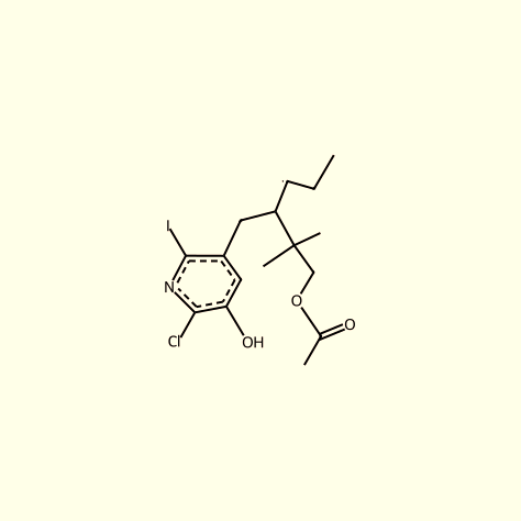 CC[CH]C(Cc1cc(O)c(Cl)nc1I)C(C)(C)COC(C)=O